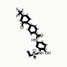 C=CS(=O)(=O)Nc1cc(NC(=O)c2ccc(-c3ccc(C(F)(F)F)cc3Cl)cc2)ccc1O